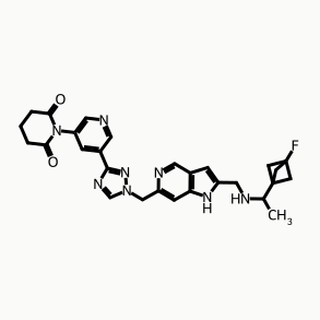 CC(NCc1cc2cnc(Cn3cnc(-c4cncc(N5C(=O)CCCC5=O)c4)n3)cc2[nH]1)C12CC(F)(C1)C2